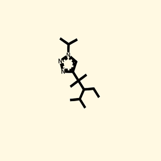 CCC(C(C)C)C(C)(C)c1cn(C(C)C)nn1